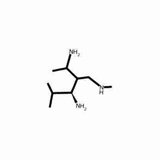 CNCC(C(C)N)[C@@H](N)C(C)C